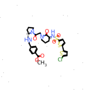 COC(=O)c1ccc(CNC[C@@H]2CCCN2C(=O)CN2CCC[C@H](NS(=O)(=O)c3ccc(-c4ccc(Cl)s4)s3)C2=O)cc1